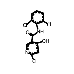 O=C(Nc1c(Cl)cccc1Cl)c1cnc(Cl)cc1O